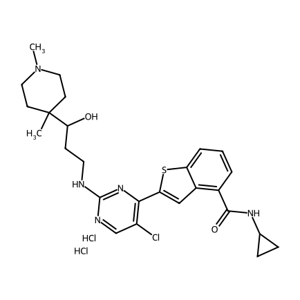 CN1CCC(C)(C(O)CCNc2ncc(Cl)c(-c3cc4c(C(=O)NC5CC5)cccc4s3)n2)CC1.Cl.Cl